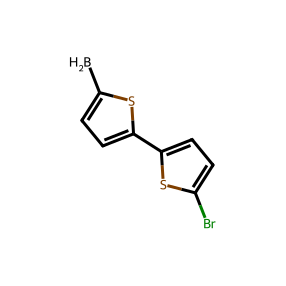 Bc1ccc(-c2ccc(Br)s2)s1